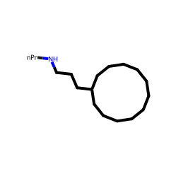 CCCNCCCC1CCCCCCCCCCC1